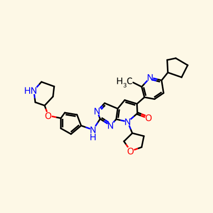 Cc1nc(C2CCCC2)ccc1-c1cc2cnc(Nc3ccc(OC4CCCNC4)cc3)nc2n(C2CCOC2)c1=O